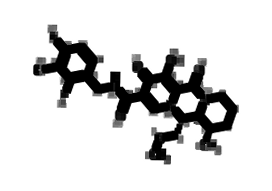 COC[C@H]1C2[C@H](C)CCCN2C(=O)c2c(O)c(=O)c(C(=O)NCc3ccc(F)c(Cl)c3F)cn21